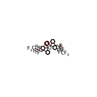 FC(F)(F)C(F)(F)C(F)(F)C(F)(F)CCc1ccccc1C(OC(c1ccccc1)(c1ccccc1)c1ccccc1CCC(F)(F)C(F)(F)C(F)(F)C(F)(F)F)(c1ccccc1)c1ccccc1